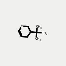 CC(C)(C)C1CC=COC1